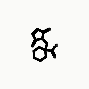 O=C1C=CC(=O)N1CC1(C(=O)Cl)CCCCC1